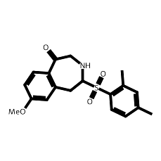 COc1ccc2c(c1)CC(S(=O)(=O)c1ccc(C)cc1C)NCC2=O